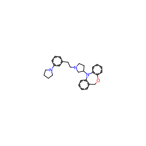 c1cc(CCN2CCC(N3c4ccccc4COc4ccccc43)C2)cc(N2CCCC2)c1